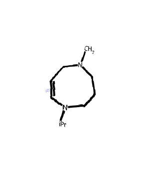 CC(C)N1/C=C\CN(C)CCC1